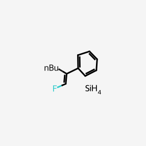 CCCCC(=CF)c1ccccc1.[SiH4]